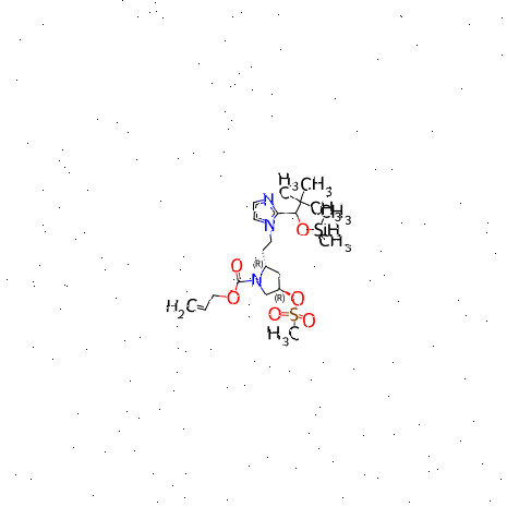 C=CCOC(=O)N1C[C@H](OS(C)(=O)=O)C[C@H]1CCn1ccnc1C(O[SiH](C)C)C(C)(C)C